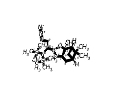 CC1(C)[C@@H]2CC3OB([C@H](CN=[N+]=[N-])N([Si](C)(C)C)[Si](C)(C)C)O[C@@]3(C)[C@H]1C2